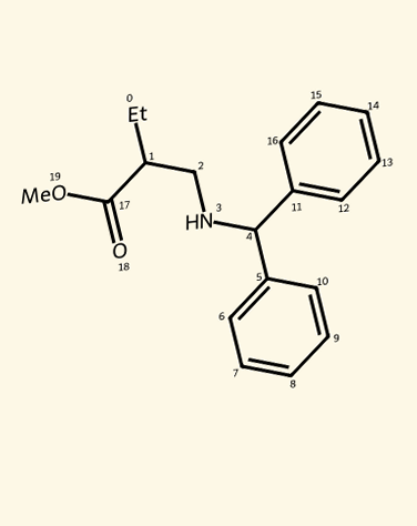 CCC(CNC(c1ccccc1)c1ccccc1)C(=O)OC